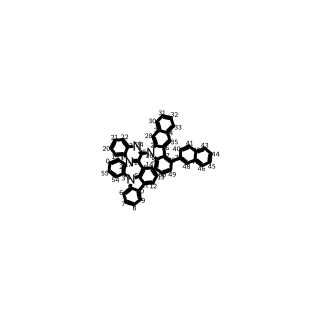 c1ccc(-n2c3ccccc3c3cccc(-c4nc5ccccc5nc4-n4c5cc6ccccc6cc5c5c(-c6ccc7ccccc7c6)cccc54)c32)cc1